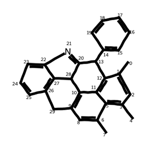 Cc1cc(C)c2c(C)cc3c4c2c1C(c1ccccc1)C1=Nc2cccc(c2C14)C3